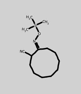 C[Si](C)(C)ON=C1CCCCCCCCC1C#N